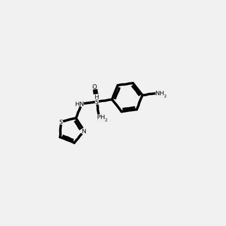 Nc1ccc([SH](=O)(P)Nc2nccs2)cc1